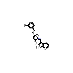 O=C1C=C(NCc2cccc(F)c2)O/C1=C/c1c[nH]c2ncccc12